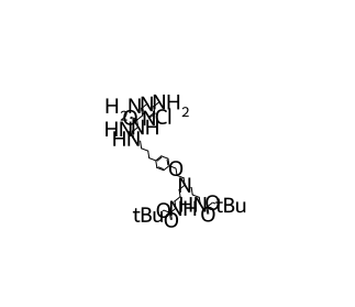 CC(C)(C)OC(=O)NCCCN(CCCNC(=O)OC(C)(C)C)CCOc1ccc(CCCCNC(=N)NC(=O)c2nc(Cl)c(N)nc2N)cc1